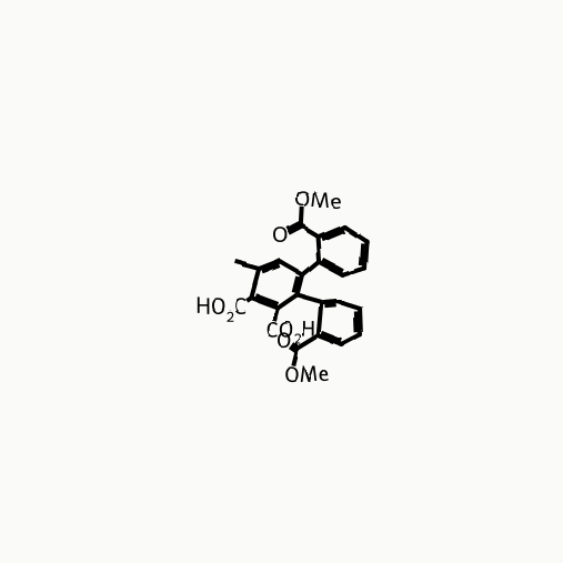 COC(=O)c1ccccc1-c1cc(C)c(C(=O)O)c(C(=O)O)c1-c1ccccc1C(=O)OC